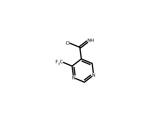 N=C(Cl)c1cncnc1C(F)(F)F